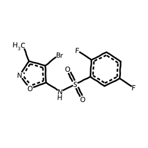 Cc1noc(NS(=O)(=O)c2cc(F)ccc2F)c1Br